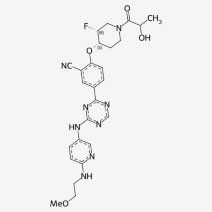 COCCNc1ccc(Nc2ncnc(-c3ccc(O[C@H]4CCN(C(=O)C(C)O)C[C@H]4F)c(C#N)c3)n2)cn1